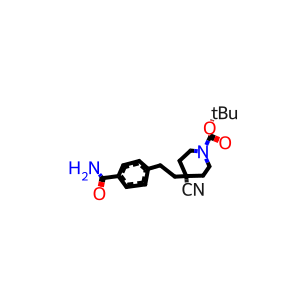 CC(C)(C)OC(=O)N1CCC(C#N)(CCc2ccc(C(N)=O)cc2)CC1